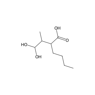 CCCCC(C(=O)O)C(C)C(O)O